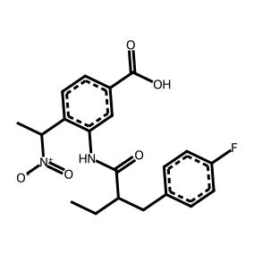 CCC(Cc1ccc(F)cc1)C(=O)Nc1cc(C(=O)O)ccc1C(C)[N+](=O)[O-]